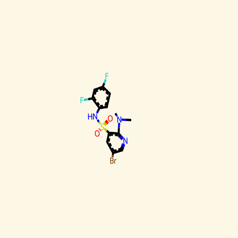 CN(C)c1ncc(Br)cc1S(=O)(=O)Nc1ccc(F)cc1F